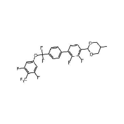 CC1COC(c2ccc(-c3ccc(C(F)(F)Oc4cc(F)c(C(F)(F)F)c(F)c4)cc3)c(F)c2F)OC1